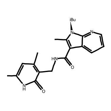 CC[C@H](C)n1c(C)c(C(=O)NCc2c(C)cc(C)[nH]c2=O)c2cccnc21